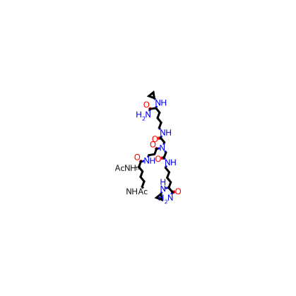 CC(=O)NCCCC[C@H](NC(C)=O)C(=O)NCCC(=O)N(CC(=O)NCCCCC(NC1CC1)C(N)=O)CC(=O)NCCCCC(NC1CC1)C(N)=O